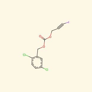 O=C(OCC#CI)OCc1cc(Cl)ccc1Cl